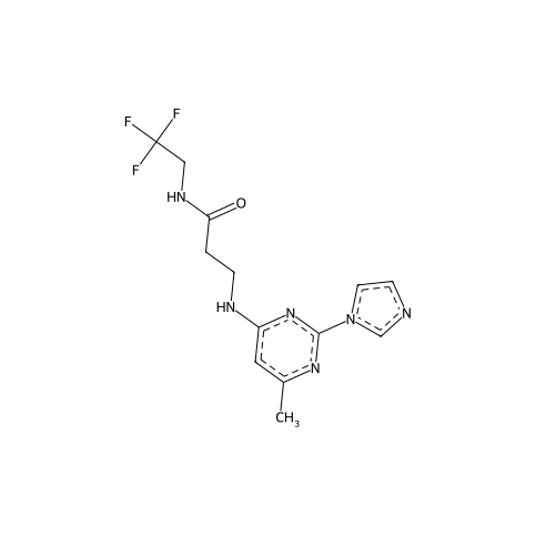 Cc1cc(NCCC(=O)NCC(F)(F)F)nc(-n2ccnc2)n1